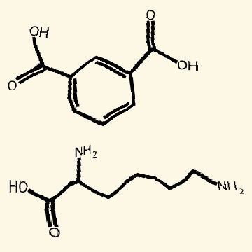 NCCCCC(N)C(=O)O.O=C(O)c1cccc(C(=O)O)c1